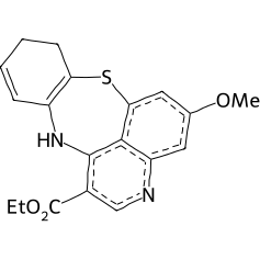 CCOC(=O)c1cnc2cc(OC)cc3c2c1NC1=C(CCC=C1)S3